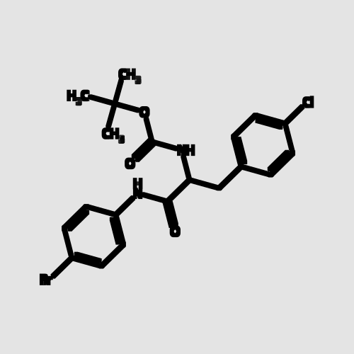 CC(C)(C)OC(=O)NC(Cc1ccc(Cl)cc1)C(=O)Nc1ccc(Br)cc1